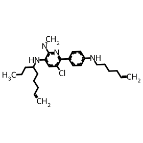 C=CCCCCNc1ccc(-c2nc(N=C)c(NC(CCC)CCCC=C)cc2Cl)cc1